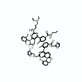 CCCNC(=O)c1ccc(C)c(-c2nc(NCCCN(CC)CC)nc3c2CNC(=O)N3c2c(F)cccc2F)c1.Cc1ccc(C(=O)Nc2nccs2)cc1-c1nc(NCc2ncc[nH]2)nc2c1ccc(=O)n2-c1c(F)cccc1F